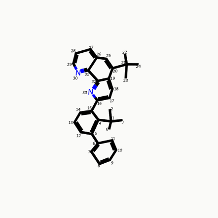 CC(C)(C)c1c(-c2ccccc2)cccc1-c1ccc2c(C(C)(C)C)cc3cccnc3c2n1